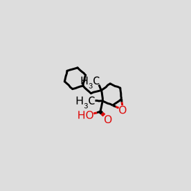 CC1(CC2CCCCC2)CCC2OC2C1(C)C(=O)O